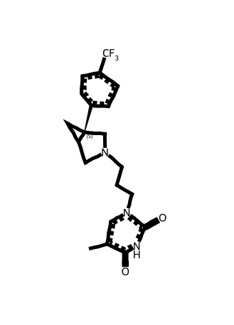 Cc1cn(CCCN2CC3C[C@]3(c3ccc(C(F)(F)F)cc3)C2)c(=O)[nH]c1=O